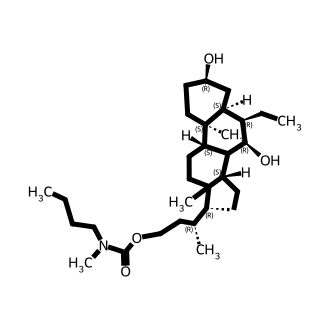 CCCCN(C)C(=O)OCC[C@@H](C)[C@H]1CC[C@H]2C3[C@H](O)[C@H](CC)[C@@H]4C[C@H](O)CC[C@]4(C)[C@H]3CCC12C